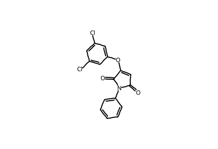 O=C1C=C(Oc2cc(Cl)cc(Cl)c2)C(=O)N1c1ccccc1